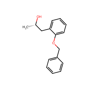 C[C@H](O)Cc1ccccc1OCc1ccccc1